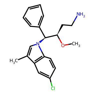 CO[C@H](CCN)[C@H](c1ccccc1)n1cc(C)c2cc(Cl)ccc21